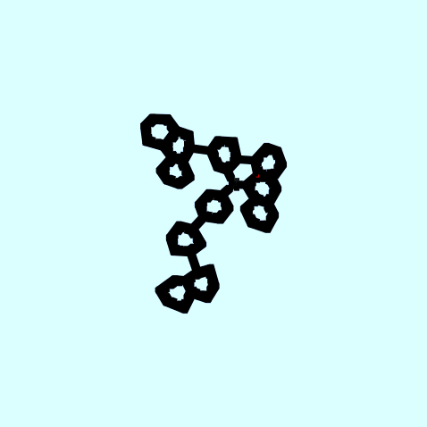 c1ccc(-c2ccc(-c3cc4ccccc4c4ccccc34)cc2N(c2ccc(-c3cccc(-c4cccc5ccccc45)c3)cc2)c2cccc3ccccc23)cc1